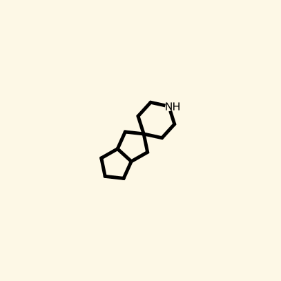 C1CC2CC3(CCNCC3)CC2C1